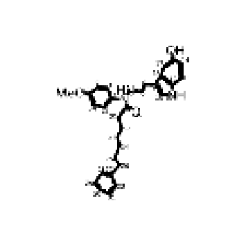 COc1ccc(N(NCCc2c[nH]c3ccc(O)cc23)C(=O)CCCCCCc2ccccc2)cc1